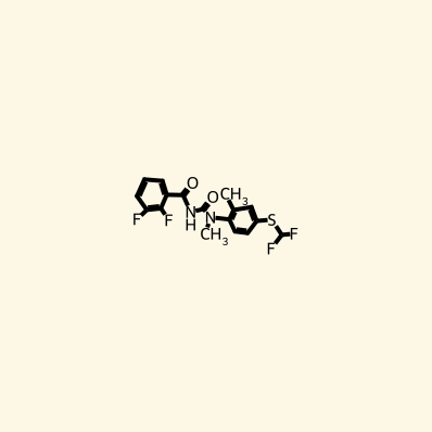 Cc1cc(SC(F)F)ccc1N(C)C(=O)NC(=O)c1cccc(F)c1F